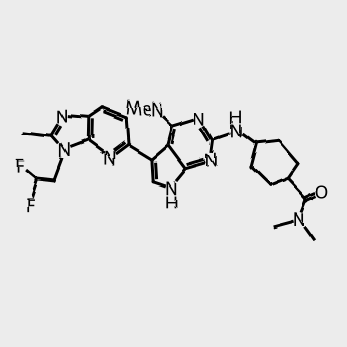 CNc1nc(NC2CCC(C(=O)N(C)C)CC2)nc2[nH]cc(-c3ccc4nc(C)n(CC(F)F)c4n3)c12